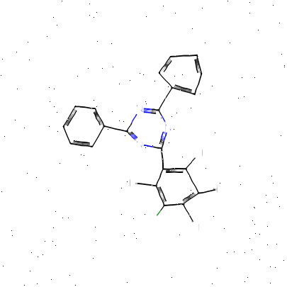 [2H]c1c([2H])c(Br)c([2H])c(-c2nc(-c3ccccc3)nc(-c3ccccc3)n2)c1[2H]